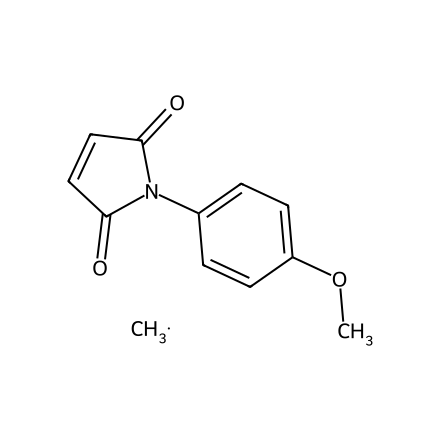 COc1ccc(N2C(=O)C=CC2=O)cc1.[CH3]